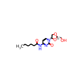 CCCCCC(=O)Nc1ccn([C@@H]2CO[C@H](CO)O2)c(=O)n1